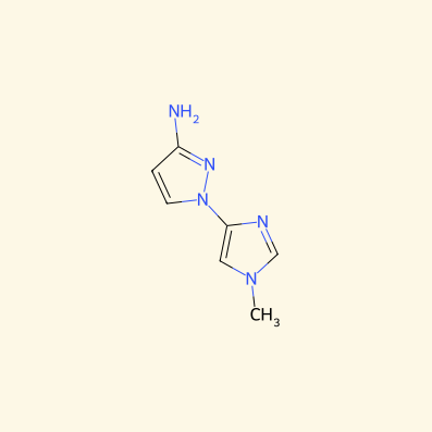 Cn1cnc(-n2ccc(N)n2)c1